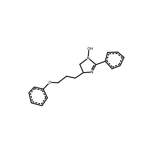 ON1CC(CCCOc2ccccc2)N=C1c1ccccc1